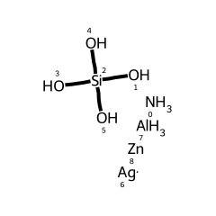 N.O[Si](O)(O)O.[Ag].[AlH3].[Zn]